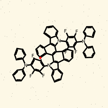 Fc1c(F)c(-n2c3ccccc3c3c4ccccc4c4c(c5ccccc5c5c6ccccc6n(-c6c(F)c(F)c(N(c7ccccc7)c7ccccc7)c(F)c6F)c54)c32)c(F)c(F)c1N(c1ccccc1)c1ccccc1